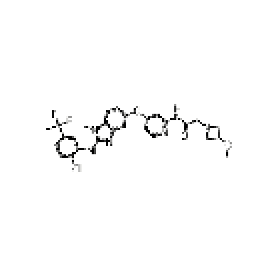 COC1CN(CC(=O)Nc2cc(Oc3ccc4c(c3)nc(Nc3cc(C(F)(F)F)ccc3Cl)n4C)ccn2)C1